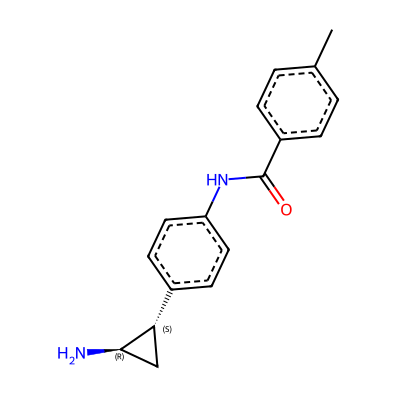 Cc1ccc(C(=O)Nc2ccc([C@@H]3C[C@H]3N)cc2)cc1